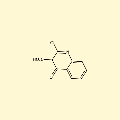 O=C(O)C1C(=O)c2ccccc2N=C1Cl